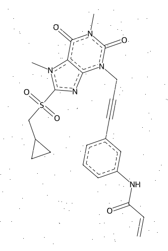 C=CC(=O)Nc1cccc(C#CCn2c(=O)n(C)c(=O)c3c2nc(S(=O)(=O)CC2CC2)n3C)c1